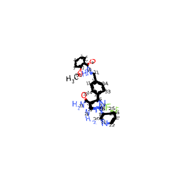 COc1ccccc1C(=O)NCc1ccc(-c2nn(C3C=NC=CC3(F)F)c(N)c2C(N)=O)cc1